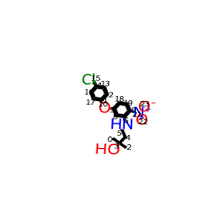 CC(C)(O)CCNc1cc(Oc2ccc(Cl)cc2)ccc1[N+](=O)[O-]